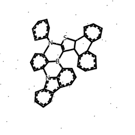 c1ccc(N2C3=C(B4c5c2cccc5-n2c5ccccc5c5cccc4c52)C2c4ccccc4-c4ccccc4C2S3)cc1